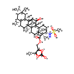 Cc1oc(=O)oc1COC(=O)[C@]1(C)[C@@H](NS(C)(=O)=O)CC[C@@]2(C)[C@H]1CC[C@]1(C)[C@@H]2C(=O)C=C2[C@@H]3C[C@@](C)(C(=O)O)CC[C@]3(C)CC[C@]21C